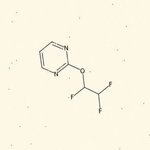 FC(F)C(F)Oc1ncccn1